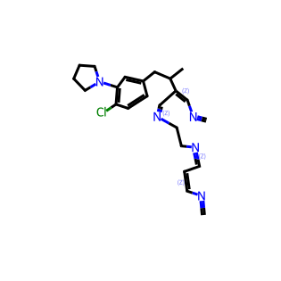 C=N/C=C\C=N/CC/N=C\C(=C/N=C)C(C)Cc1ccc(Cl)c(N2CCCC2)c1